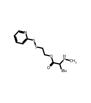 CCC(C)C(PC)C(=O)OCCSSc1ccccn1